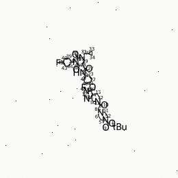 CC(C)(C)OC(=O)N1CCN(CC(=O)N2CCc3c(ncnc3Oc3ccc(NC(=O)c4cn(CC5CC5)c(=O)n(-c5ccc(F)cc5)c4=O)cc3F)C2)CC1